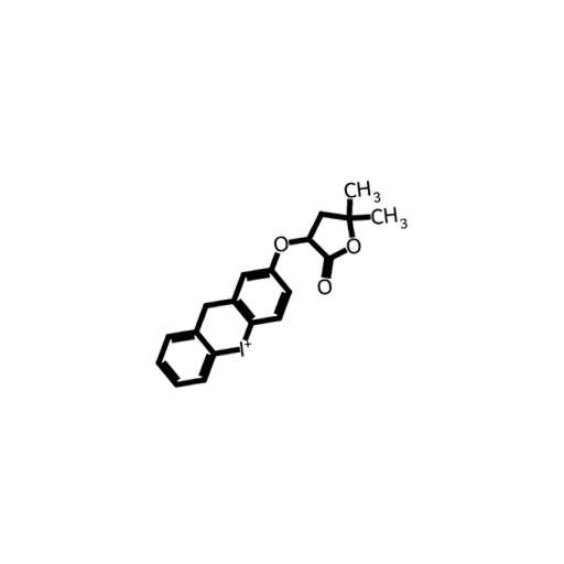 CC1(C)CC(Oc2ccc3c(c2)Cc2ccccc2[I+]3)C(=O)O1